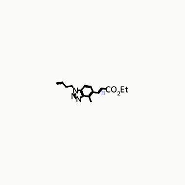 C=CCCn1nnc2c(C)c(/C=C/C(=O)OCC)ccc21